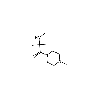 CNC(C)(C)C(=O)N1CCN(C)CC1